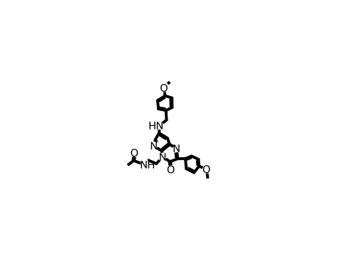 COc1ccc(CNc2cnc3c(c2)nc(-c2ccc(OC)cc2)c(=O)n3CCNC(C)=O)cc1